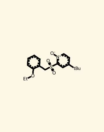 CCOc1ccccc1CS(=O)(=O)c1cc(C(C)(C)C)cc[n+]1[O-]